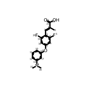 CC(=Cc1c(F)cc(Oc2cccc(N(C)C)c2)cc1F)C(=O)O